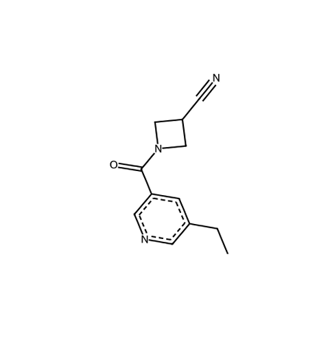 CCc1cncc(C(=O)N2CC(C#N)C2)c1